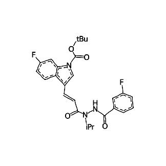 CC(C)N(NC(=O)c1cccc(F)c1)C(=O)C=Cc1cn(C(=O)OC(C)(C)C)c2cc(F)ccc12